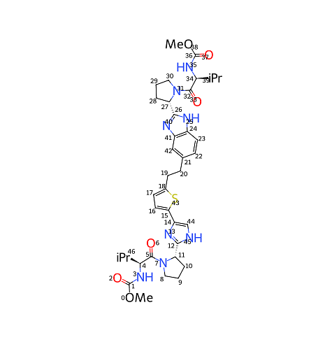 COC(=O)N[C@H](C(=O)N1CCC[C@H]1c1nc(-c2ccc(CCc3ccc4[nH]c([C@@H]5CCCN5C(=O)[C@@H](NC(=O)OC)C(C)C)nc4c3)s2)c[nH]1)C(C)C